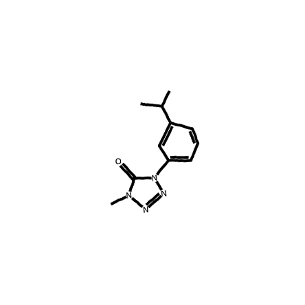 CC(C)c1cccc(-n2nnn(C)c2=O)c1